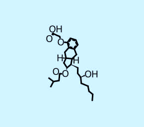 CCCCC[C@H](O)CC[C@@H]1[C@H]2Cc3cccc(OCC(=O)O)c3C[C@H]2C[C@H]1OC(=O)CC(C)C